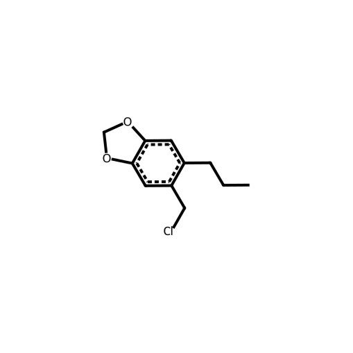 CCCc1cc2c(cc1CCl)OCO2